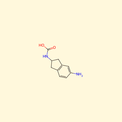 Nc1ccc2c(c1)CC(NC(=O)O)C2